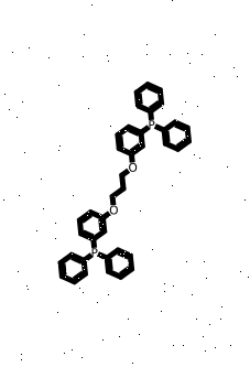 c1ccc(P(c2ccccc2)c2cccc(OCCCOc3cccc(P(c4ccccc4)c4ccccc4)c3)c2)cc1